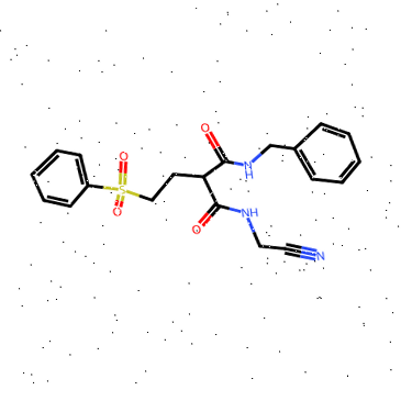 N#CCNC(=O)C(CCS(=O)(=O)c1ccccc1)C(=O)NCc1ccccc1